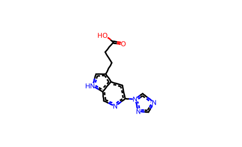 O=C(O)CCc1c[nH]c2cnc(-n3cncn3)cc12